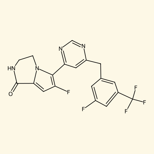 O=C1NCCn2c1cc(F)c2-c1cc(Cc2cc(F)cc(C(F)(F)F)c2)ncn1